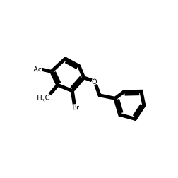 CC(=O)c1ccc(OCc2ccccc2)c(Br)c1C